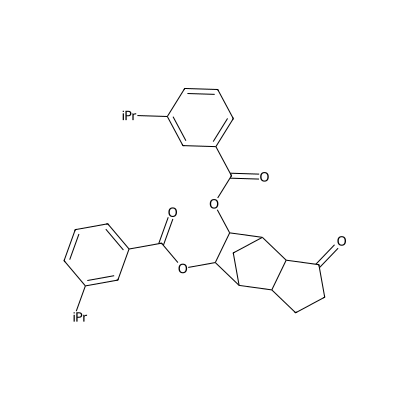 CC(C)c1cccc(C(=O)OC2C3CC(C2OC(=O)c2cccc(C(C)C)c2)C2C(=O)CCC32)c1